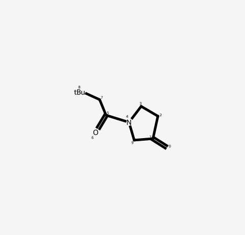 C=C1CCN(C(=O)CC(C)(C)C)C1